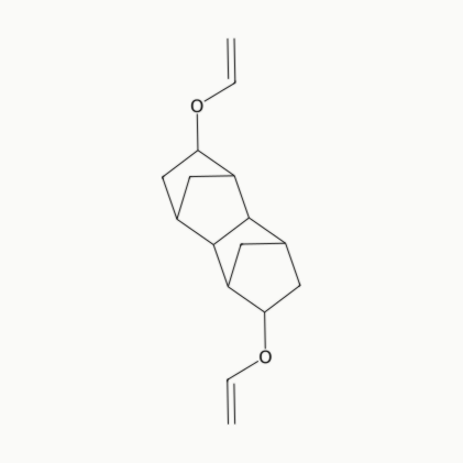 C=COC1CC2CC1C1C3CC(OC=C)C(C3)C21